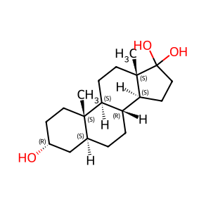 C[C@]12CC[C@@H](O)C[C@@H]1CC[C@@H]1[C@@H]2CC[C@@]2(C)[C@H]1CCC2(O)O